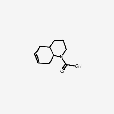 O=C(O)N1CCCC2CC=CCC21